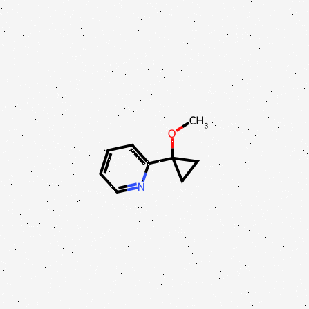 COC1(c2c[c]ccn2)CC1